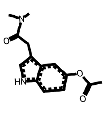 CC(=O)Oc1ccc2[nH]cc(CC(=O)N(C)C)c2c1